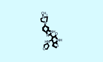 CN1CCN(c2ccc3nc(-c4c(NC5CCOC5)c5ccsc5[nH]c4=O)[nH]c3c2)CC1